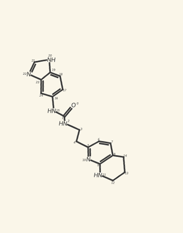 O=C(NCCc1ccc2c(n1)NCCC2)Nc1ccc2[nH]cnc2c1